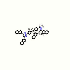 C=C(/N=C(\C=C(/C)c1ccc2ccccc2c1)c1ccc2ccccc2c1)c1ccc(C(C)(C)c2ccc(-c3nc(-c4ccc5ccccc5c4)cc(-c4ccc5ccccc5c4)n3)cc2)cc1